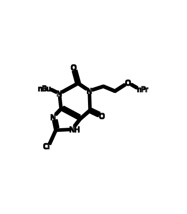 CCCCn1c(=O)n(CCOCCC)c(=O)c2[nH]c(Cl)nc21